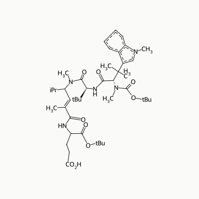 C/C(=C\C(C(C)C)N(C)C(=O)[C@@H](NC(=O)[C@@H](N(C)C(=O)OC(C)(C)C)C(C)(C)c1cn(C)c2ccccc12)C(C)(C)C)C(=O)NC(CCC(=O)O)C(=O)OC(C)(C)C